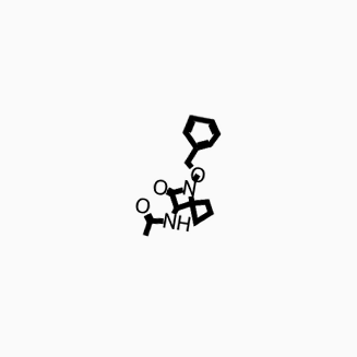 CC(=O)NC1C(=O)N(OCc2ccccc2)C12CCC2